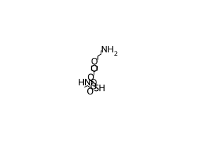 CC(NC(=O)OCc1ccc(OCCCCN)cc1)C(=O)OS